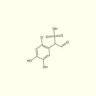 O=[C]C(c1cc(O)c(O)cc1Cl)S(=O)(=O)O